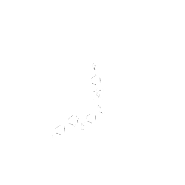 N#Cc1ccc(S(=O)(=O)N2CCN(C(=O)c3ccc(Nc4nccc(-c5ccc(Cl)cc5)n4)cc3)CC2)cc1